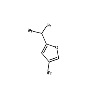 CC(C)c1coc(C(C(C)C)C(C)C)c1